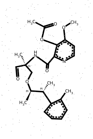 COc1ccnc(C(=O)N[C@](C)(C=O)CO[C@H](C)[C@H](C)c2ccccc2C)c1OC(C)=O